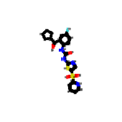 O=C(Nc1ncc(S(=O)(=O)c2ccccn2)s1)Nc1ccc(F)cc1C(=O)C1CCCC1